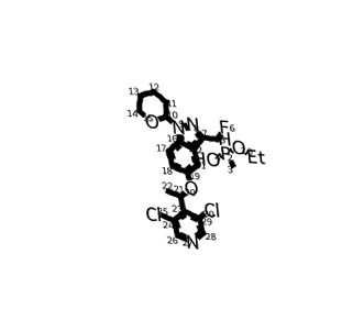 CCO[PH](C)(O)C(F)c1nn(C2CCCCO2)c2ccc(OC(C)c3c(Cl)cncc3Cl)cc12